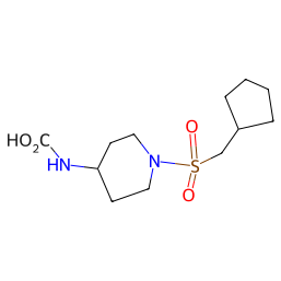 O=C(O)NC1CCN(S(=O)(=O)CC2CCCC2)CC1